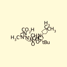 Cc1cc(C(=O)O)nc(N2CCN(C(=O)c3cc4nc(C5CCC(C)(C)CC5)cc(C(C)(C)C)c4o3)C(C)(C)C2)n1